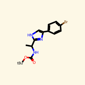 CC(NC(=O)OC(C)(C)C)c1nc(-c2ccc(Br)cc2)c[nH]1